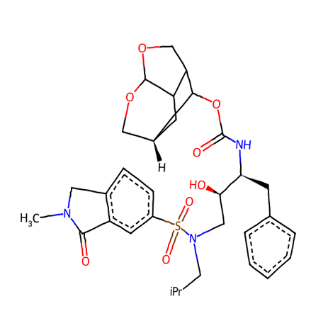 CC(C)CN(C[C@@H](O)[C@H](Cc1ccccc1)NC(=O)OC1C2COC3OC[C@H]1CC32)S(=O)(=O)c1ccc2c(c1)C(=O)N(C)C2